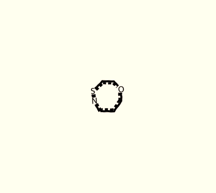 c1cnsccoc1